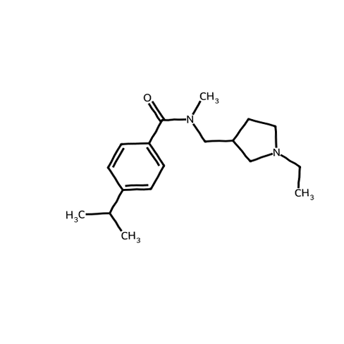 CCN1CCC(CN(C)C(=O)c2ccc(C(C)C)cc2)C1